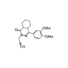 C#CCN1N=C(c2ccc(OC)c(OC)c2)C2CCCCC2C1=O